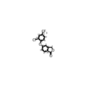 O=C1OCc2cc(Oc3ccc(C(F)(F)F)cc3Cl)ccc21